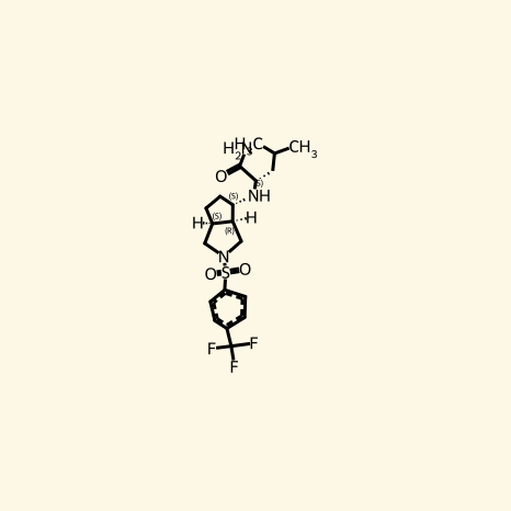 CC(C)C[C@H](N[C@H]1CC[C@@H]2CN(S(=O)(=O)c3ccc(C(F)(F)F)cc3)C[C@@H]21)C(N)=O